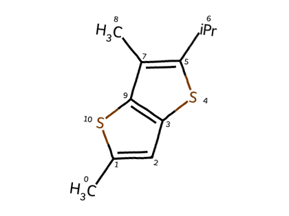 Cc1cc2sc(C(C)C)c(C)c2s1